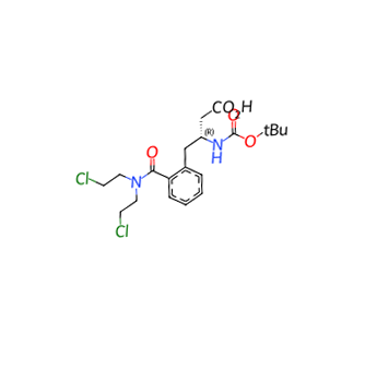 CC(C)(C)OC(=O)N[C@@H](CC(=O)O)Cc1ccccc1C(=O)N(CCCl)CCCl